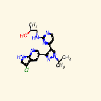 CC(C)n1cc(-c2ccnc(NC[C@H](C)O)n2)c(-c2cnc3[nH]cc(Cl)c3c2)n1